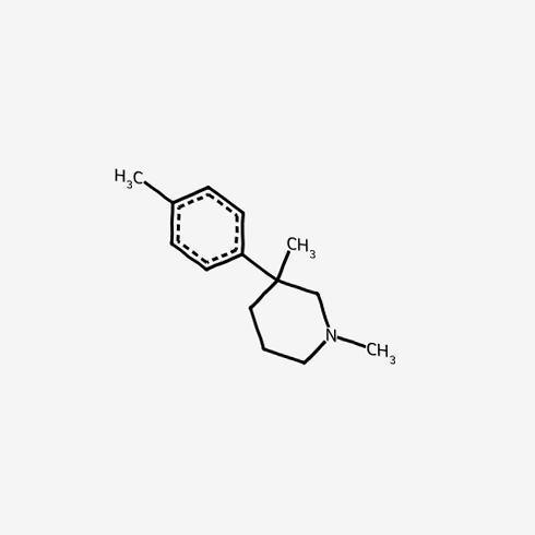 Cc1ccc(C2(C)CCCN(C)C2)cc1